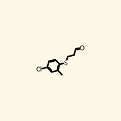 Cc1cc(Cl)ccc1SCCC=O